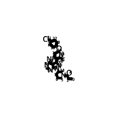 C=CC(=O)N1CCCC(n2nc(-c3ccc(Oc4ccc(Cl)cc4)nc3F)c3c(N)ncnc32)C1